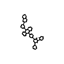 c1cc(-c2ccc3ccccc3c2)cc(-c2c3ccccc3c(-c3ccc(-c4cc5c6ccccc6oc5c5c4oc4ccccc45)cc3)c3ccccc23)c1